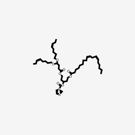 CC/C=C\CCCCOC(CCC(=O)OCCC(CCOC(=O)CCCCCCC/C=C\C/C=C\CCCCC)OC(=O)n1ccnc1)OCCCC/C=C\CC